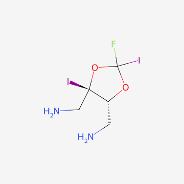 NC[C@H]1OC(F)(I)O[C@@]1(I)CN